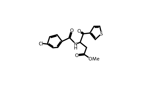 COC(=O)CC(NC(=O)c1ccc(Cl)cc1)C(=O)c1ccsc1